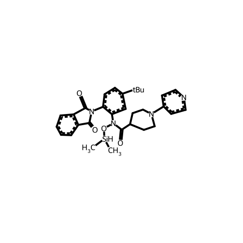 C[SiH](C)ON(C(=O)C1CCN(c2ccncc2)CC1)c1cc(C(C)(C)C)ccc1N1C(=O)c2ccccc2C1=O